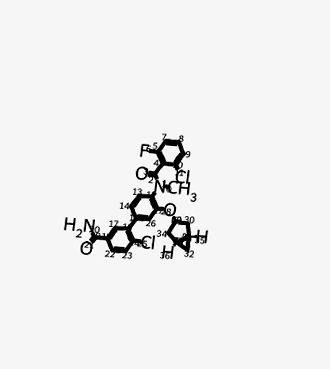 CN(C(=O)c1c(F)cccc1Cl)c1ccc(-c2cc(C(N)=O)ccc2Cl)cc1O[C@H]1C[C@@H]2C[C@@H]2C1